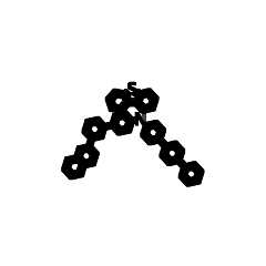 c1ccc(-c2ccc(-c3ccc(N(c4ccc(-c5cccc(-c6ccc7ccccc7c6)c5)cc4)c4cccc5sc6ccccc6c45)cc3)cc2)cc1